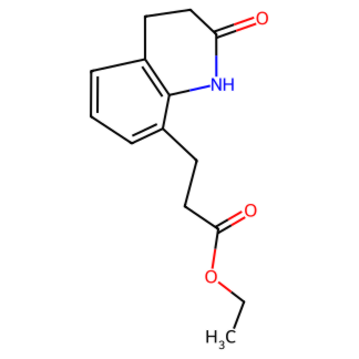 CCOC(=O)CCc1cccc2c1NC(=O)CC2